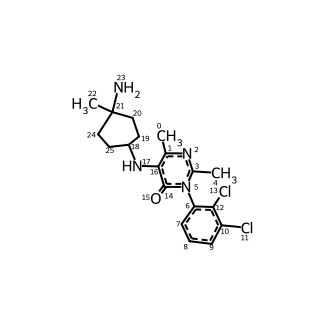 Cc1nc(C)n(-c2cccc(Cl)c2Cl)c(=O)c1NC1CCC(C)(N)CC1